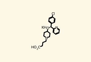 O=C(O)CCCN1CCC(O[C@@H](c2ccc(Cl)cc2)c2ccccn2)CC1.[KH]